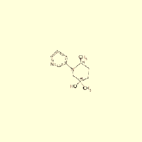 C[C@H]1CC[C@@](C)(O)CN1c1cccnc1